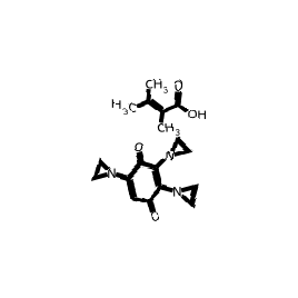 CC(C)=C(C)C(=O)O.O=C1C=C(N2CC2)C(=O)C(N2CC2)=C1N1CC1